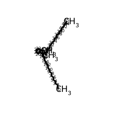 CCCCCCCCCCCCCCCCCCC(c1ccccc1)[N+](C)(C)CCCCCCCCCCCCCCCCCC